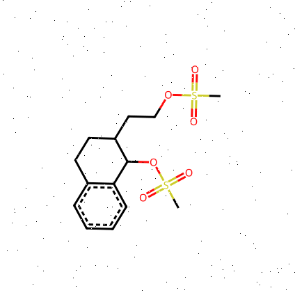 CS(=O)(=O)OCCC1CCc2ccccc2C1OS(C)(=O)=O